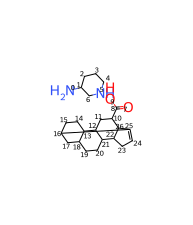 NC1CCCNC1.O=C(O)C1CC2C3CCC4CC3CCC2C2CC=C4C12